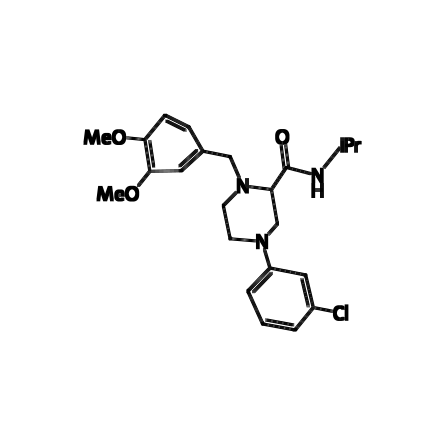 COc1ccc(CN2CCN(c3cccc(Cl)c3)CC2C(=O)NC(C)C)cc1OC